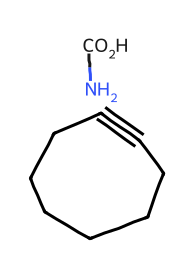 C1#CCCCCCC1.NC(=O)O